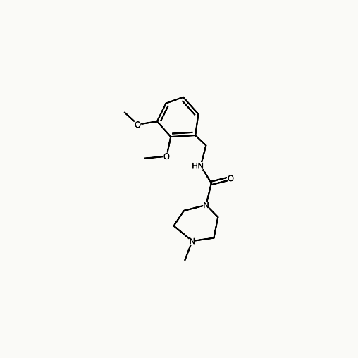 COc1cccc(CNC(=O)N2CCN(C)CC2)c1OC